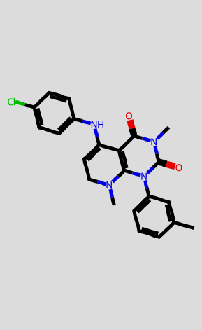 Cc1cccc(-n2c3c(c(=O)n(C)c2=O)C(Nc2ccc(Cl)cc2)=CCN3C)c1